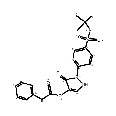 CC(C)(C)NS(=O)(=O)c1ccc(-n2[nH]cc(OC(=O)Cc3ccccc3)c2=O)nc1